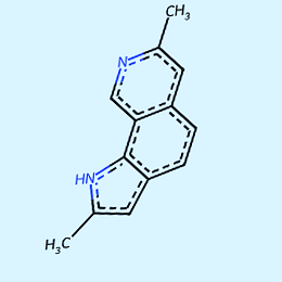 Cc1cc2ccc3cc(C)[nH]c3c2cn1